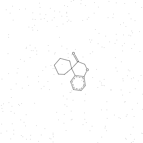 O=C1COc2ccccc2C12CCCCC2